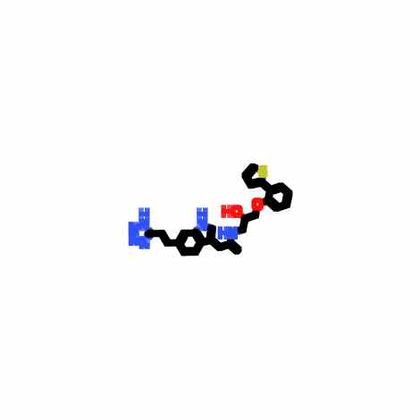 C=C(Cc1c[nH]c2cc(CCc3nnn[nH]3)ccc12)NC[C@H](O)COc1ccccc1-c1cccs1